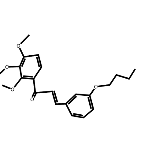 CCCCOc1cccc(C=CC(=O)c2ccc(OC)c(OC)c2OC)c1